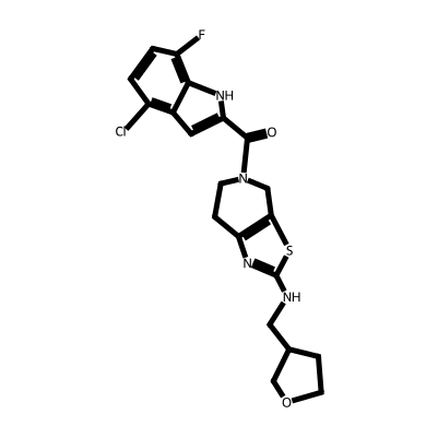 O=C(c1cc2c(Cl)ccc(F)c2[nH]1)N1CCc2nc(NCC3CCOC3)sc2C1